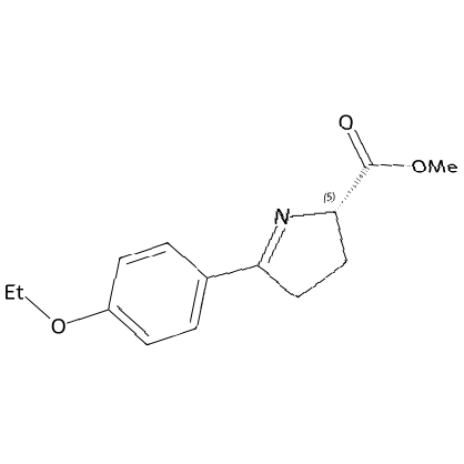 CCOc1ccc(C2=N[C@H](C(=O)OC)CC2)cc1